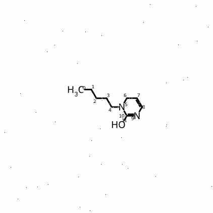 CCCCCN1CC=CN=C1O